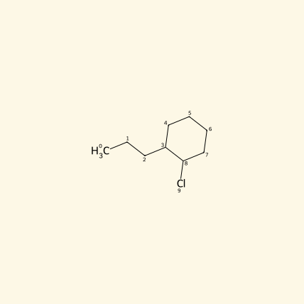 CCCC1CCCCC1Cl